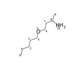 CCCCCOCCC(C)N